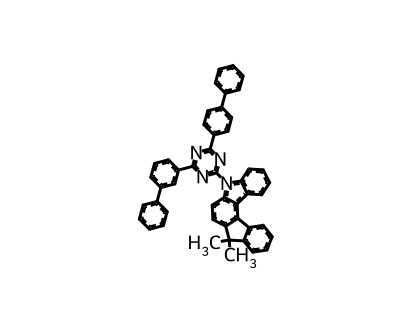 CC1(C)c2ccccc2-c2c1ccc1c2c2ccccc2n1-c1nc(-c2ccc(-c3ccccc3)cc2)nc(-c2cccc(-c3ccccc3)c2)n1